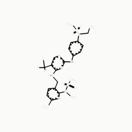 CCN(c1ccc(Nc2ncc(C(F)(F)F)c(NCc3ccc(C)nc3N(C)S(C)(=O)=O)n2)cc1)S(C)(=O)=O